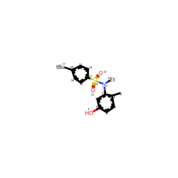 CCN(c1cc(O)ccc1C)S(=O)(=O)c1ccc(C(C)(C)C)cc1